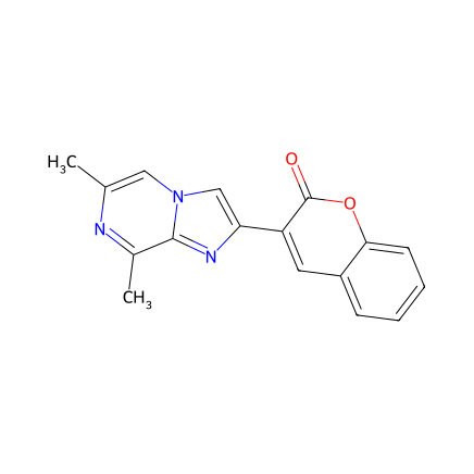 Cc1cn2cc(-c3cc4ccccc4oc3=O)nc2c(C)n1